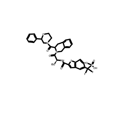 CC(C)(C)[C@H](NC(=O)c1cc2cc(C(F)(F)P(=O)(O)O)ccc2s1)C(=O)N1Cc2ccccc2CC1C(=O)N1CCOC(c2ccccc2)C1